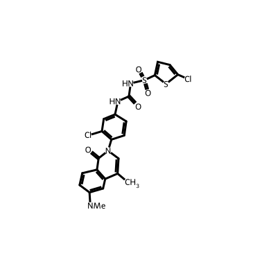 CNc1ccc2c(=O)n(-c3ccc(NC(=O)NS(=O)(=O)c4ccc(Cl)s4)cc3Cl)cc(C)c2c1